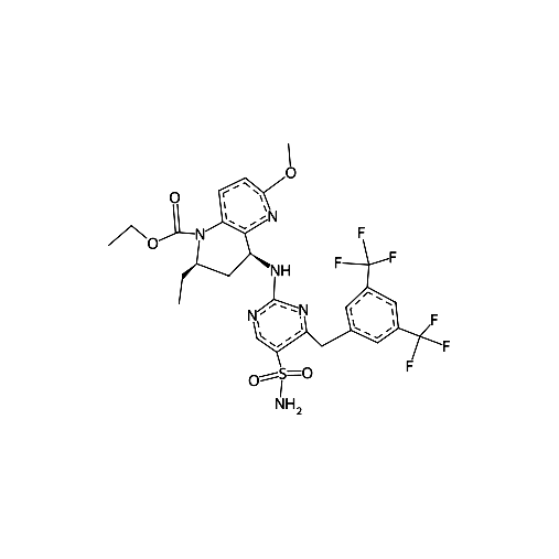 CCOC(=O)N1c2ccc(OC)nc2[C@@H](Nc2ncc(S(N)(=O)=O)c(Cc3cc(C(F)(F)F)cc(C(F)(F)F)c3)n2)C[C@H]1CC